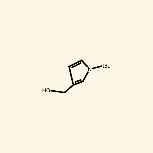 CC(C)(C)n1ccc(CO)c1